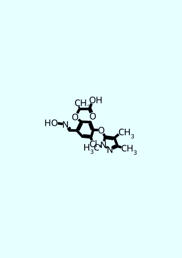 Cc1nn(C)c(Oc2cc(O[C@@H](C)C(=O)O)c(C=NO)cc2Cl)c1C